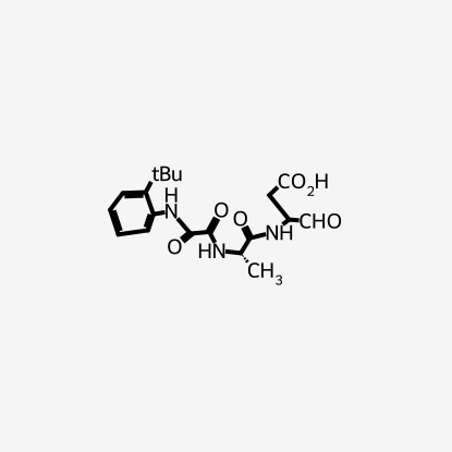 C[C@H](NC(=O)C(=O)Nc1ccccc1C(C)(C)C)C(=O)NC(C=O)CC(=O)O